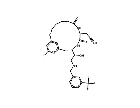 C#CC[C@@H]1NC(=O)CCCCOc2cc(F)cc(c2)C[C@@H]([C@H](O)CNCc2cccc(C(F)(F)F)c2)NC1=O